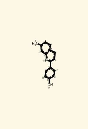 Cc1ccc2ccc(-c3ccc(O)cc3)nc2c1